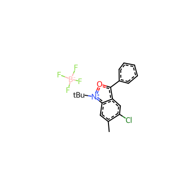 Cc1cc2c(cc1Cl)c(-c1ccccc1)o[n+]2C(C)(C)C.F[B-](F)(F)F